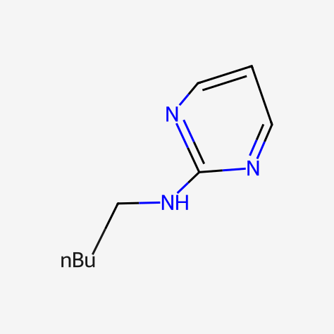 CCCCCNc1ncccn1